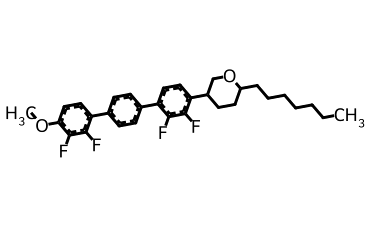 CCCCCCCC1CCC(c2ccc(-c3ccc(-c4ccc(OC)c(F)c4F)cc3)c(F)c2F)CO1